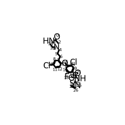 O=C1CN(CCCc2cc(Cl)ccc2Oc2cc(F)c(S(=O)(=O)Nc3nccs3)cc2Cl)CCN1